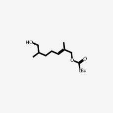 CC(=CCCC(C)CO)COC(=O)C(C)(C)C